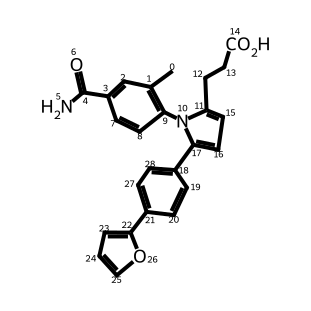 Cc1cc(C(N)=O)ccc1-n1c(CCC(=O)O)ccc1-c1ccc(-c2ccco2)cc1